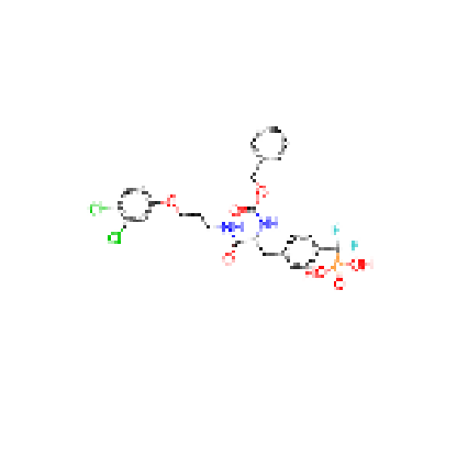 O=C(NC(Cc1ccc(C(F)(F)P(=O)(O)O)cc1)C(=O)NCCCOc1ccc(Cl)c(Cl)c1)OCc1ccccc1